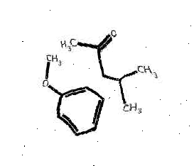 CC(=O)CC(C)C.COc1ccccc1